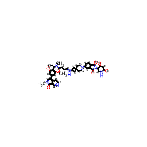 COc1cc(-c2cn(C)c(=O)c3cnccc23)cc(OC)c1CN(C)CCCCNC1CC2(CCN(c3ccc4c(c3)C(=O)N(C3CNC(=O)CC3=O)C4=O)CC2)C1